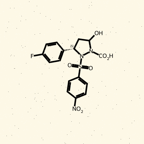 O=C(O)N1C(O)C[C@@H](c2ccc(F)cc2)N1S(=O)(=O)c1ccc([N+](=O)[O-])cc1